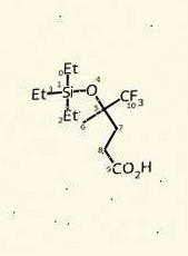 CC[Si](CC)(CC)OC(C)(CCC(=O)O)C(F)(F)F